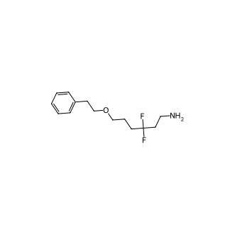 NCCC(F)(F)CCCOCCc1ccccc1